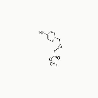 COC(=O)C[C@@H]1C[C@@H]1Cc1ccc(Br)cc1